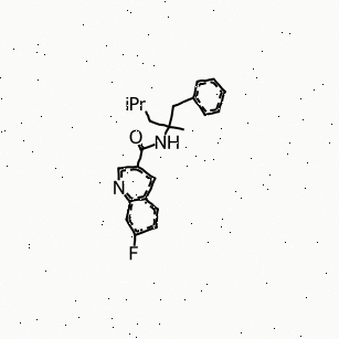 CC(C)CC(C)(Cc1ccccc1)NC(=O)c1cnc2cc(F)ccc2c1